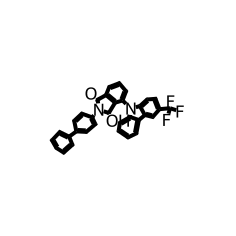 O=C1c2cccc(-n3c4ccccc4c4cc(C(F)(F)F)ccc43)c2C(O)N1c1ccc(-c2ccccc2)cc1